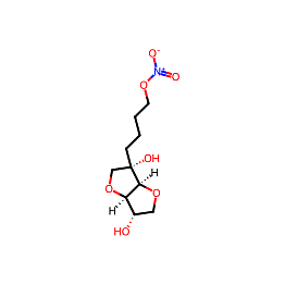 O=[N+]([O-])OCCCC[C@]1(O)CO[C@@H]2[C@@H](O)CO[C@@H]21